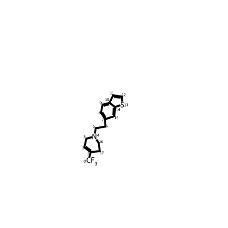 FC(F)(F)C1=CCN(CCc2ccc3ccsc3c2)CC1